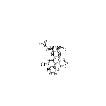 Nc1nc(-c2ccccc2)c(-c2cc(Cl)c3ncccc3c2)nc1NCC1CC1